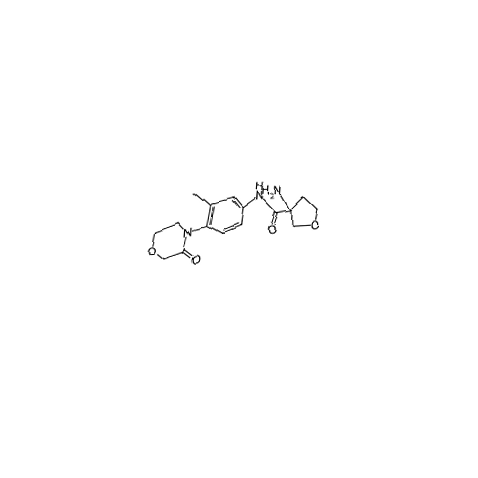 Cc1cc(NC(=O)C2(N)CCOC2)ccc1N1CCOCC1=O